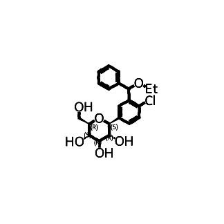 CCOC(c1ccccc1)c1cc([C@@H]2O[C@H](CO)[C@@H](O)[C@H](O)[C@H]2O)ccc1Cl